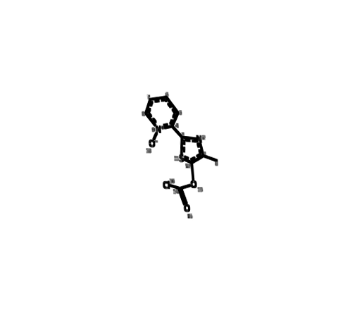 Cc1nc(-c2cccc[n+]2[O-])sc1OC(=O)Cl